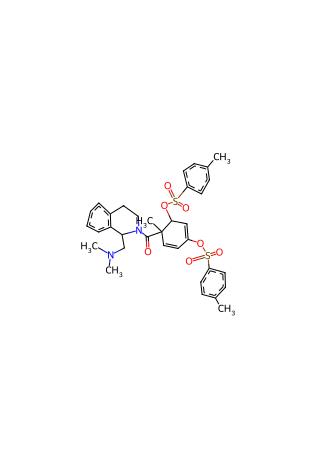 Cc1ccc(S(=O)(=O)OC2=CC(OS(=O)(=O)c3ccc(C)cc3)C(C)(C(=O)N3CCc4ccccc4C3CN(C)C)C=C2)cc1